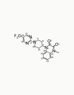 Cn1c(=O)c(=O)n(C2CCN(c3ncc(C(F)(F)F)cn3)CC2)c2ccccc21